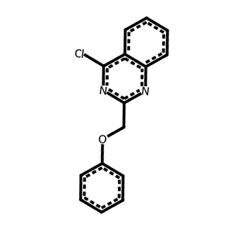 Clc1nc(COc2ccccc2)nc2ccccc12